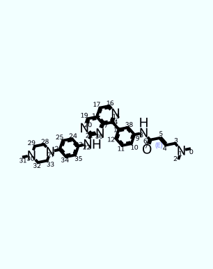 CN(C)C/C=C/C(=O)Nc1cccc(-c2nccc3cnc(Nc4ccc(N5CCN(C)CC5)cc4)nc23)c1